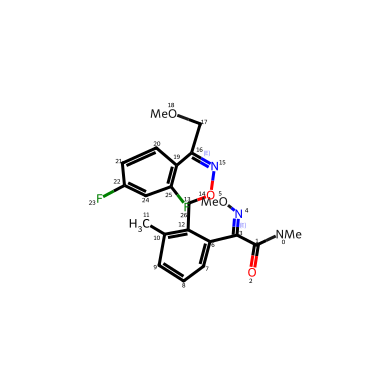 CNC(=O)/C(=N/OC)c1cccc(C)c1CO/N=C(/COC)c1ccc(F)cc1F